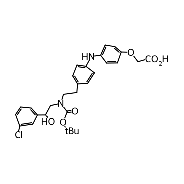 CC(C)(C)OC(=O)N(CCc1ccc(Nc2ccc(OCC(=O)O)cc2)cc1)C[C@@H](O)c1cccc(Cl)c1